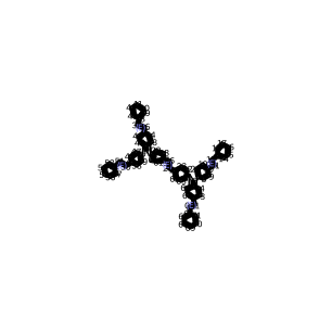 C(=C\c1ccc(N(c2ccc(/C=C/c3ccccc3)cc2)c2ccc(/C=C/c3ccc(N(c4ccc(/C=C/c5ccccc5)cc4)c4ccc(/C=C/c5ccccc5)cc4)cc3)cc2)cc1)/c1ccccc1